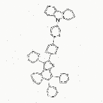 c1ccc(-c2c(-c3ccccc3)c3sc(-c4ccc(-c5ccc(-n6c7ccccc7c7ccccc76)cc5)cc4)c(-c4ccccc4)c3c3ccccc23)cc1